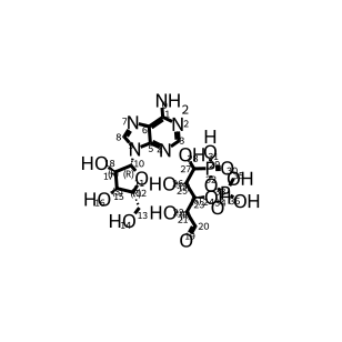 Nc1ncnc2c1ncn2[C@@H]1O[C@H](CO)[C@@H](O)[C@H]1O.O=C[C@H](O)[C@H](O)[C@H](O)C(O)P(=O)(O)OP(=O)(O)O